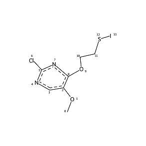 COc1cnc(Cl)nc1OCCSI